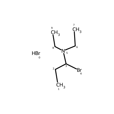 Br.CCC(Br)N(CC)CC